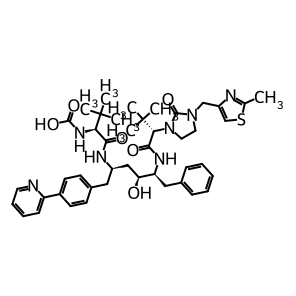 Cc1nc(CN2CCN([C@H](C(=O)N[C@@H](Cc3ccccc3)[C@@H](O)C[C@@H](Cc3ccc(-c4ccccn4)cc3)NC(=O)[C@@H](NC(=O)O)C(C)(C)C)C(C)(C)C)C2=O)cs1